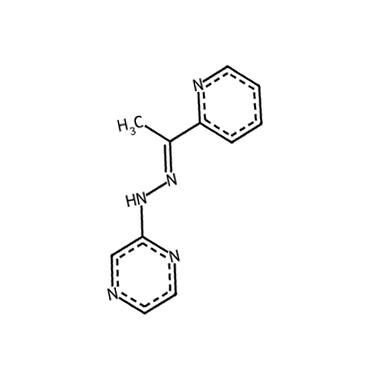 C/C(=N\Nc1cnccn1)c1ccccn1